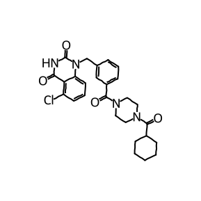 O=C(c1cccc(Cn2c(=O)[nH]c(=O)c3c(Cl)cccc32)c1)N1CCN(C(=O)C2CCCCC2)CC1